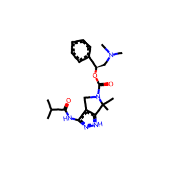 CC(C)C(=O)Nc1n[nH]c2c1CN(C(=O)O[C@H](CN(C)C)c1ccccc1)C2(C)C